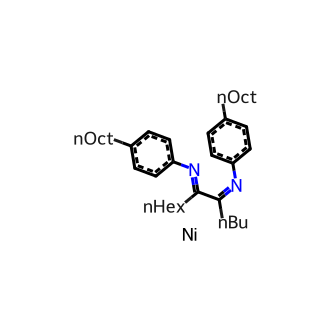 CCCCCCCCc1ccc(N=C(CCCC)C(CCCCCC)=Nc2ccc(CCCCCCCC)cc2)cc1.[Ni]